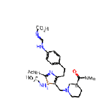 CNC(=O)[C@H]1CCCN(Cc2sc(NC(C)=O)nc2CCc2ccc(NC=NC(=O)O)cc2)C1.NC(=O)O